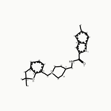 Cc1ccc2sc(C(=O)NCC3CCN(Cc4cccc5c4OC(C)(C)C5)CC3)cc2c1